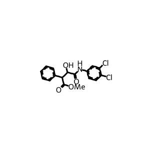 COC(=O)C(c1ccccc1)C(O)C(=O)Nc1ccc(Cl)c(Cl)c1